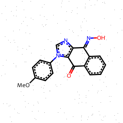 COc1ccc(-n2cnc3c2C(=O)c2ccccc2C3=NO)cc1